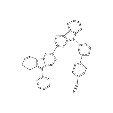 N#Cc1ccc(-c2cccc(-n3c4ccccc4c4ccc(-c5ccc6c(c5)c5c(n6-c6ccccc6)CCC=C5)cc43)c2)cc1